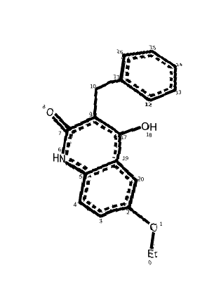 CCOc1ccc2[nH]c(=O)c(Cc3ccccc3)c(O)c2c1